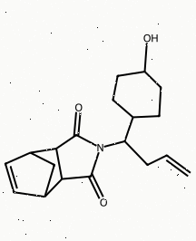 C=CCC(C1CCC(O)CC1)N1C(=O)C2C3C=CC(C3)C2C1=O